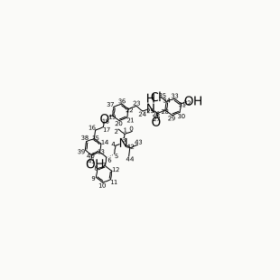 CC(C)N(CC[C@H](c1ccccc1)c1cc(CCOc2ccc(CCNC(=O)c3ccc(O)cc3Cl)cc2)ccc1O)C(C)C